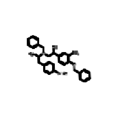 CC(=O)Nc1ccc(CC(C)N(Cc2ccccc2)CC(O)c2ccc(OCc3ccccc3)c([N+](=O)[O-])c2)cc1